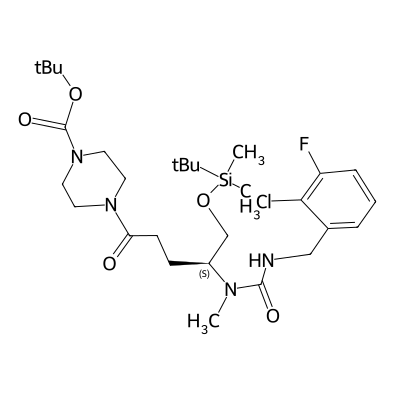 CN(C(=O)NCc1cccc(F)c1Cl)[C@@H](CCC(=O)N1CCN(C(=O)OC(C)(C)C)CC1)CO[Si](C)(C)C(C)(C)C